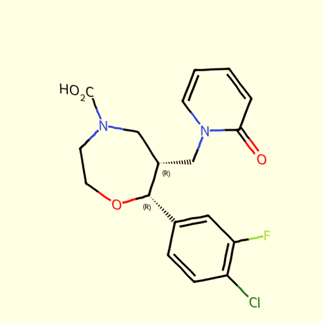 O=C(O)N1CCO[C@@H](c2ccc(Cl)c(F)c2)[C@@H](Cn2ccccc2=O)C1